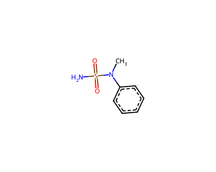 CN(c1[c]cccc1)S(N)(=O)=O